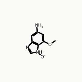 COc1cc(N)cc2c1[NH+]([O-])C=N2